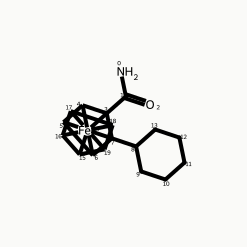 NC(=O)[C]12[CH]3[CH]4[CH]5[C]1(C1CCCCC1)[Fe]43521678[CH]2[CH]1[CH]6[CH]7[CH]28